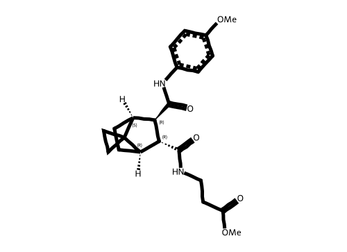 COC(=O)CCNC(=O)[C@H]1[C@H](C(=O)Nc2ccc(OC)cc2)[C@@H]2CC[C@H]1C21CC1